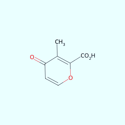 Cc1c(C(=O)O)occc1=O